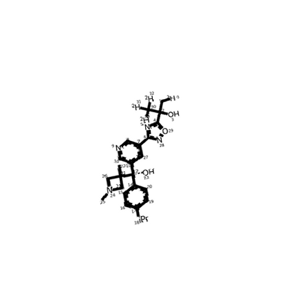 [2H]CC(O)(c1nc(-c2cncc([C@@](O)(c3ccc(C(C)C)cc3)C3(C)CN(C)C3)c2)no1)C([2H])([2H])[2H]